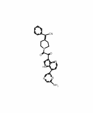 N#CC(=C1CCN(C(=O)C(=O)c2c[nH]c3c(-c4cncc(N)n4)ccnc23)CC1)c1ccccc1